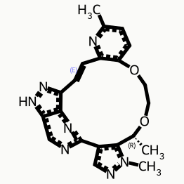 Cc1ccc2c(n1)/C=C/c1n[nH]c3cnc(nc13)-c1cnn(C)c1[C@@H](C)OCCO2